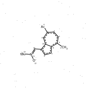 CC(=O)c1ccc(C)c2ccc(C=[N+]([O-])C(C)(C)C)c-2c1